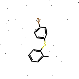 Cc1ccccc1Sc1ccc(Br)cc1